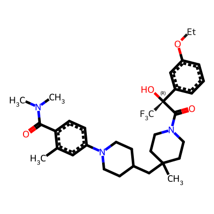 CCOc1cccc([C@@](O)(C(=O)N2CCC(C)(CC3CCN(c4ccc(C(=O)N(C)C)c(C)c4)CC3)CC2)C(F)(F)F)c1